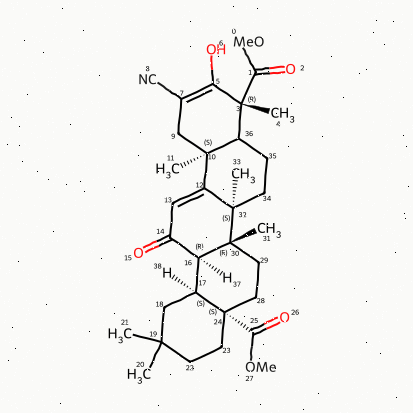 COC(=O)[C@@]1(C)C(O)=C(C#N)C[C@]2(C)C3=CC(=O)[C@@H]4[C@@H]5CC(C)(C)CC[C@]5(C(=O)OC)CC[C@@]4(C)[C@]3(C)CCC12